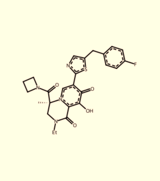 CCN1C[C@@](C)(C(=O)N2CCC2)n2cc(-c3ncc(Cc4ccc(F)cc4)s3)c(=O)c(O)c2C1=O